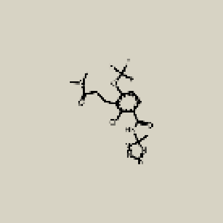 CN(C)C(=O)CCc1c(OC(F)(F)F)ccc(C(=O)NC2(C)N=NN=N2)c1Cl